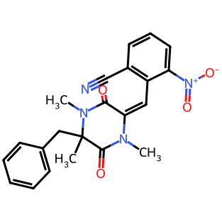 CN1C(=O)C(C)(Cc2ccccc2)N(C)C(=O)C1=Cc1c(C#N)cccc1[N+](=O)[O-]